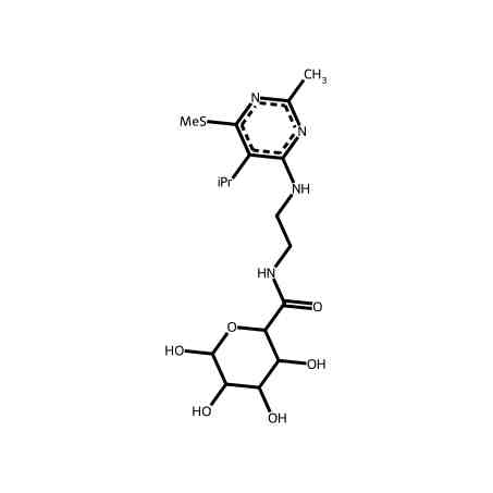 CSc1nc(C)nc(NCCNC(=O)C2OC(O)C(O)C(O)C2O)c1C(C)C